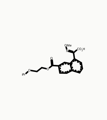 CON=C(C(=O)O)c1cccc2ccc(C(=O)OCCOC(C)C)cc12